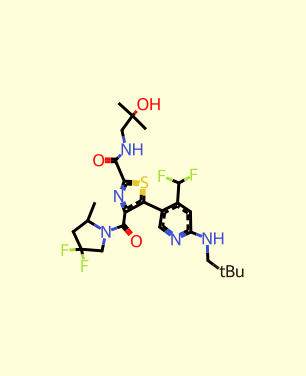 CC1CC(F)(F)CN1C(=O)c1nc(C(=O)NCC(C)(C)O)sc1-c1cnc(NCC(C)(C)C)cc1C(F)F